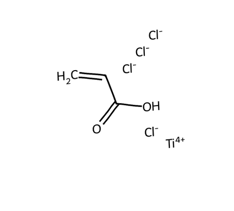 C=CC(=O)O.[Cl-].[Cl-].[Cl-].[Cl-].[Ti+4]